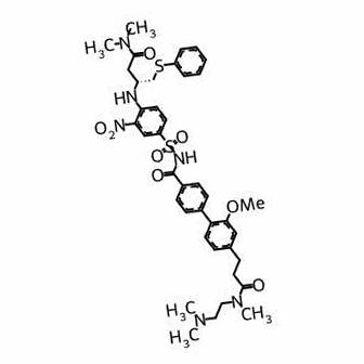 COc1cc(CCC(=O)N(C)CCN(C)C)ccc1-c1ccc(C(=O)NS(=O)(=O)c2ccc(N[C@@H](CSc3ccccc3)CC(=O)N(C)C)c([N+](=O)[O-])c2)cc1